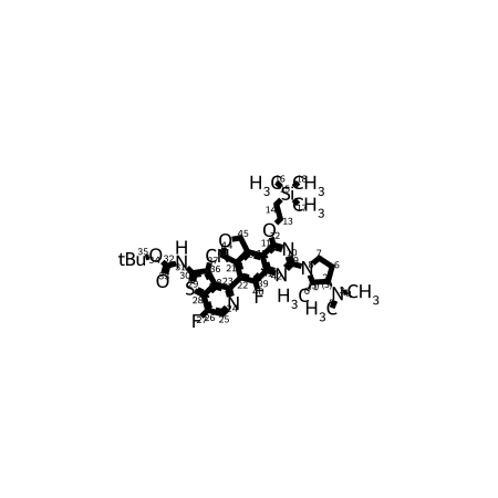 C[C@H]1[C@@H](N(C)C)CCN1c1nc(OCC[Si](C)(C)C)c2c3c(c(-c4ncc(F)c5sc(NC(=O)OC(C)(C)C)c(C#N)c45)c(F)c2n1)COC3